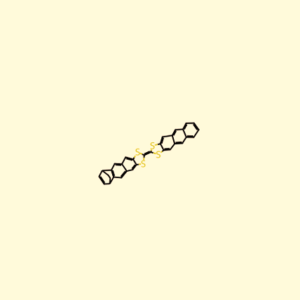 C1=CC2CCC1c1cc3cc4c(cc3cc12)SC(=C1Sc2cc3cc5ccccc5cc3cc2S1)S4